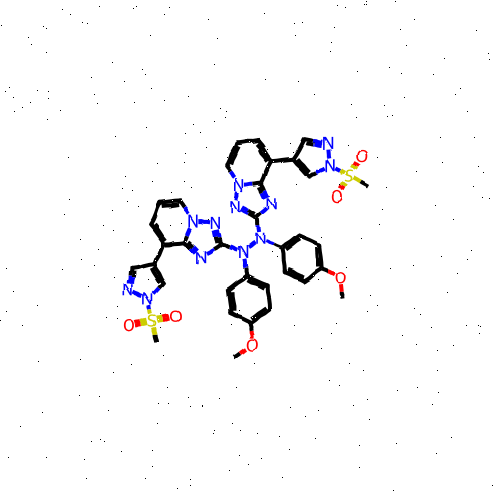 COc1ccc(N(c2nc3c(-c4cnn(S(C)(=O)=O)c4)cccn3n2)N(c2ccc(OC)cc2)c2nc3c(-c4cnn(S(C)(=O)=O)c4)cccn3n2)cc1